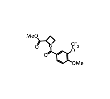 COC(=O)C1CCN1C(=O)c1ccc(OC)c(OC(F)(F)F)c1